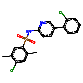 Cc1cc(S(=O)(=O)Nc2ccc(-c3ccccc3Cl)cn2)c(C)cc1Cl